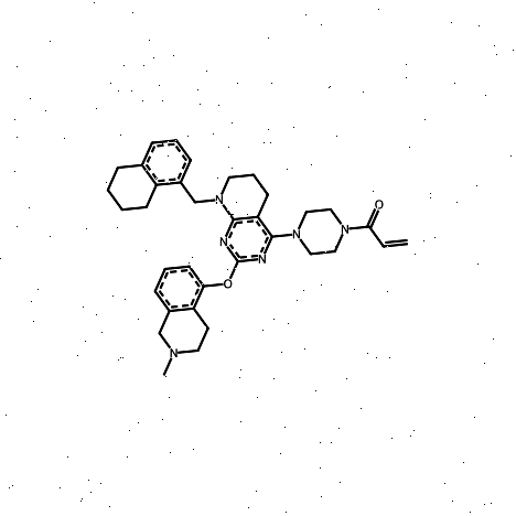 C=CC(=O)N1CCN(c2nc(Oc3cccc4c3CCN(C)C4)nc3c2CCCN3Cc2cccc3c2CCCC3)CC1